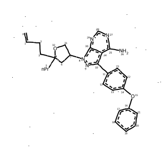 C=CCCC1(CCC)CC(n2nc(-c3ccc(Oc4ccccc4)cc3)c3c(N)ncnc32)CO1